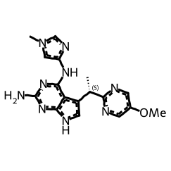 COc1cnc([C@@H](C)c2c[nH]c3nc(N)nc(Nc4cn(C)cn4)c23)nc1